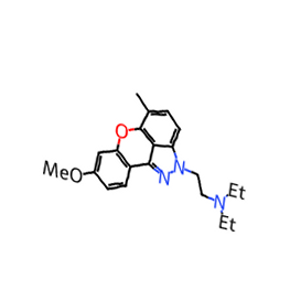 CCN(CC)CCn1nc2c3c(c(C)ccc31)Oc1cc(OC)ccc1-2